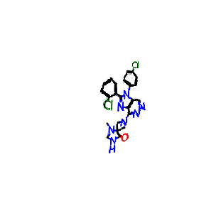 CN1CNC(=O)C12CN(c1nncc3c1nc(-c1ccccc1Cl)n3-c1ccc(Cl)cc1)C2